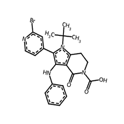 CC(C)(C)n1c2c(c(Nc3ccccc3)c1-c1ccnc(Br)c1)C(=O)N(C(=O)O)CC2